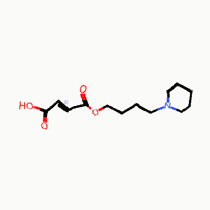 O=C(O)/C=C/C(=O)OCCCCN1CCCCC1